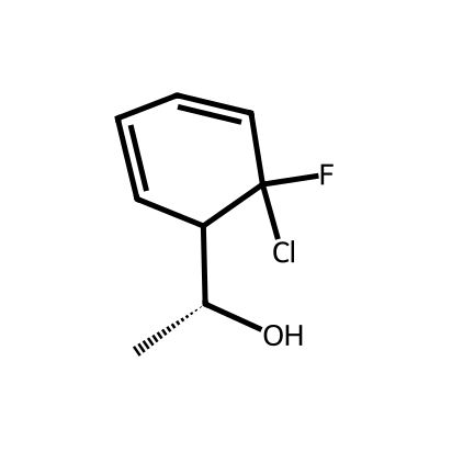 C[C@@H](O)C1C=CC=CC1(F)Cl